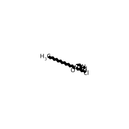 CCCCCCCCCCCCCC(=O)N1CCc2nnc(Cl)cc2C1